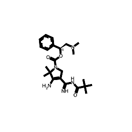 CN(C)C[C@@H](OC(=O)N1CC(C(=N)NC(=O)C(C)(C)C)=C(N)C1(C)C)c1ccccc1